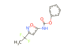 CC(F)(F)c1cc(NC(=O)Oc2ccccc2)on1